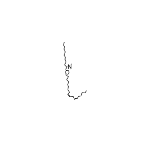 CCCCC/C=C\C/C=C\CCCCCCCCOCC(CCCCCCCCCC)N(C)C